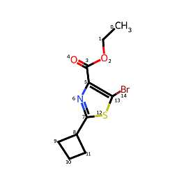 CCOC(=O)c1nc(C2CCC2)sc1Br